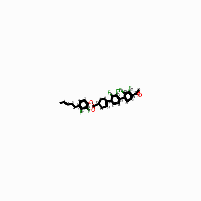 C/C=C/CCc1ccc(OC(=O)C2CC=C(c3ccc(-c4ccc(C5CO5)c(F)c4F)c(F)c3F)CC2)c(F)c1F